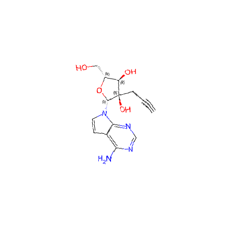 C#CC[C@@]1(O)[C@H](O)[C@@H](CO)O[C@H]1n1ccc2c(N)ncnc21